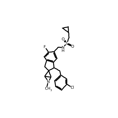 CN1C2C1C21Cc2cc(F)c(CNS(=O)(=O)CC3CC3)cc2C1Cc1cccc(Cl)c1